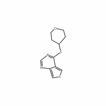 c1nc(SC2CCOCC2)c2cscc2n1